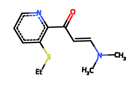 CCSc1cccnc1C(=O)/C=C/N(C)C